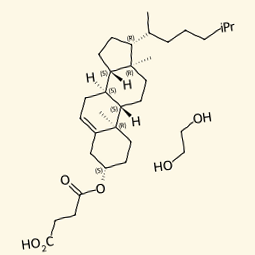 CC(C)CCCC(C)[C@H]1CC[C@H]2[C@@H]3CC=C4C[C@@H](OC(=O)CCC(=O)O)CC[C@]4(C)[C@H]3CC[C@]12C.OCCO